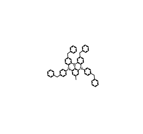 Cc1cc2c3c(c1)N(c1ccc(Cc4ccccc4)cc1)c1ccc(Cc4ccccc4)cc1B3c1cc(Cc3ccccc3)ccc1N2c1ccc(Cc2ccccc2)cc1